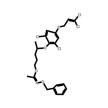 CC(=NOCc1ccccc1)OCCCC(C)Oc1c(Cl)cc(OCC=C(Cl)Cl)cc1Cl